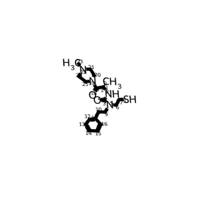 C[C@H](NC(=O)N(CCS)CCc1ccccc1)C(=O)N1CCN(C)CC1